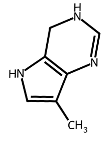 Cc1c[nH]c2c1N=CNC2